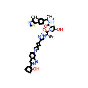 Cc1ncsc1-c1ccc([C@H](C)NC(=O)[C@@H]2C[C@@H](O)CN2C(=O)[C@H](C(C)C)n2cc(C3CC4(C3)CN(c3ccc5cc(-c6ccccc6O)nnc5c3)C4)nn2)cc1